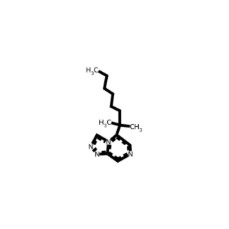 CCCCCCC(C)(C)c1cncc2nncn12